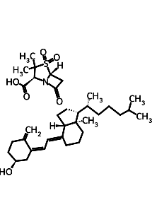 C=C1CC[C@H](O)C/C1=C/C=C1\CCC[C@]2(C)[C@@H]([C@H](C)CCCC(C)C)CC[C@@H]12.CC1(C)[C@H](C(=O)O)N2C(=O)C[C@H]2S1(=O)=O